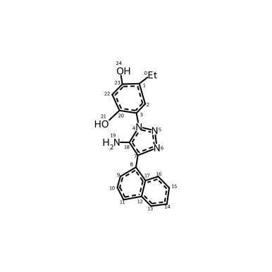 CCc1cc(-n2nnc(-c3cccc4ccccc34)c2N)c(O)cc1O